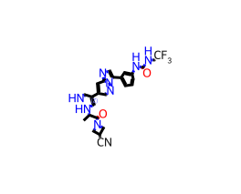 CC(N/C=C(\C=N)c1cnn2c(-c3cccc(NC(=O)NCC(F)(F)F)c3)cnc2c1)C(=O)N1CC(C#N)C1